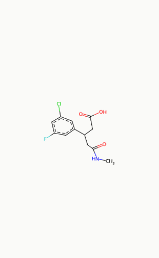 CNC(=O)CC(CC(=O)O)c1cc(F)cc(Cl)c1